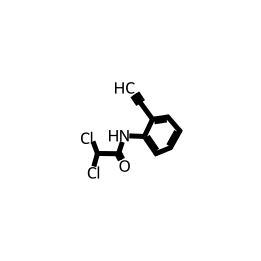 C#Cc1ccccc1NC(=O)C(Cl)Cl